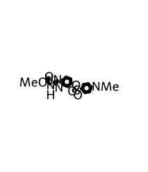 CNc1ccc(S(=O)(=O)Oc2ccc3[nH]c(NC(=O)OC)nc3c2)cc1